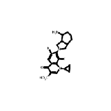 NC1CCCC2CN(c3c(F)cc4c(=O)c(C(=O)O)cn(C5CC5)c4c3F)CC12